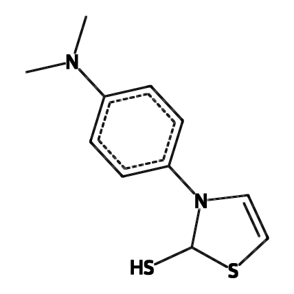 CN(C)c1ccc(N2C=CSC2S)cc1